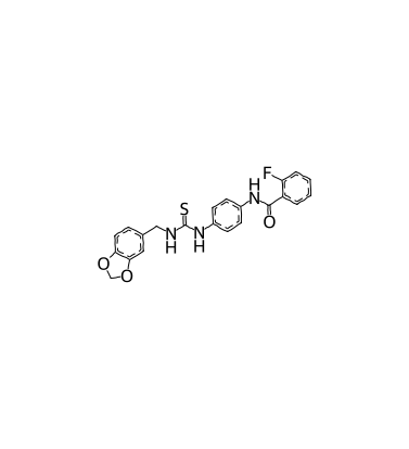 O=C(Nc1ccc(NC(=S)NCc2ccc3c(c2)OCO3)cc1)c1ccccc1F